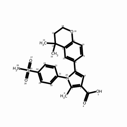 Cc1c(C(=O)O)cc(-c2ccc3c(c2)C(C)(C)CCO3)n1-c1ccc(S(N)(=O)=O)cc1